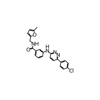 Cc1ccc(CNC(=O)c2cccc(Nc3ccc(-c4ccc(Cl)cc4)nn3)c2)o1